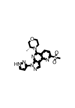 C[C@@H]1COCCN1c1nc2c(cnn2-c2cc[nH]n2)c2nc(S(C)(=O)=O)ccc12